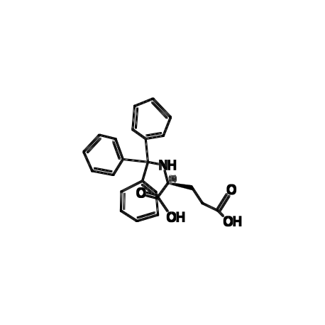 O=C(O)CC[C@H](NC(c1ccccc1)(c1ccccc1)c1ccccc1)C(=O)O